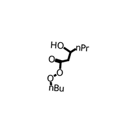 CCCCOOC(=O)CC(O)CCC